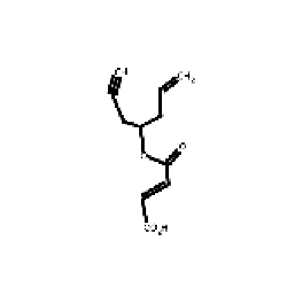 C#CCC(CC=C)OC(=O)C=CC(=O)O